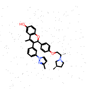 CC1=C(c2cccc(-n3ccc(C)n3)c2)C(c2ccc(OC[C@H](C)N3CC[C@@H](C)C3)cc2)Oc2ccc(O)cc21